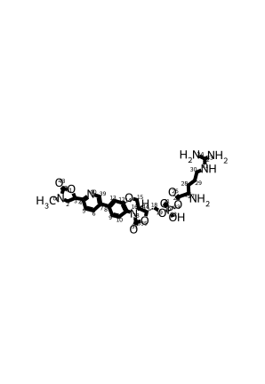 CN1CC(c2ccc(-c3ccc4c(c3)OC[C@H]3[C@H](COP(=O)(O)OC(=O)[C@@H](N)CCCNC(N)N)OC(=O)N43)cn2)OC1=O